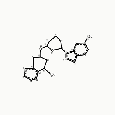 CC(C)(C)c1ccc2cnn(C3CCCC(OC4Cc5ccccc5C(C(C)(C)C)C4)O3)c2c1